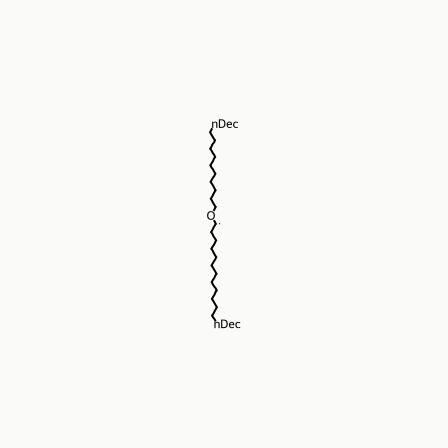 CCCCCCCCCCCCCCCCCCCCC[CH]OCCCCCCCCCCCCCCCCCCCC